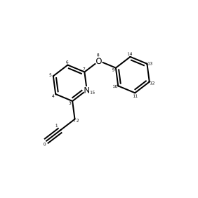 C#C[CH]c1cccc(Oc2ccccc2)n1